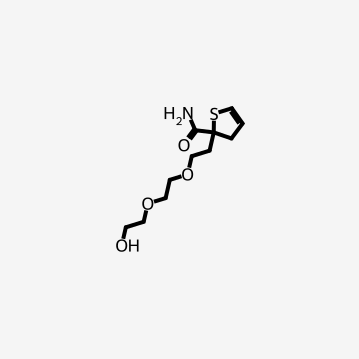 NC(=O)C1(CCOCCOCCO)CC=CS1